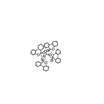 O=C(N(CP1(=O)Oc2ccccc2-c2ccccc21)CP1(=O)Oc2ccccc2-c2ccccc21)N(CP1(=O)Oc2ccccc2-c2ccccc21)CP1(=O)Oc2ccccc2-c2ccccc21